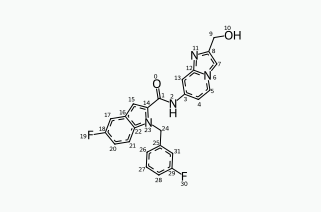 O=C(Nc1ccn2cc(CO)nc2c1)c1cc2cc(F)ccc2n1Cc1cccc(F)c1